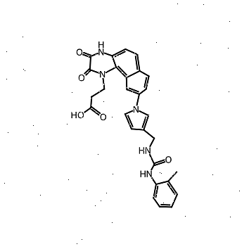 Cc1ccccc1NC(=O)NCc1ccn(-c2ccc3ccc4[nH]c(=O)c(=O)n(CCC(=O)O)c4c3c2)c1